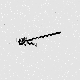 CCCCCCCCCCCCCCCCCC[SiH2]C1([SiH](C)CCCC#N)CCCCO1